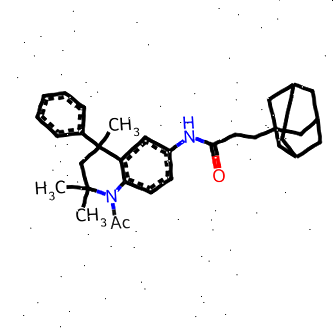 CC(=O)N1c2ccc(NC(=O)CCC34CC5CC(CC(C5)C3)C4)cc2C(C)(c2ccccc2)CC1(C)C